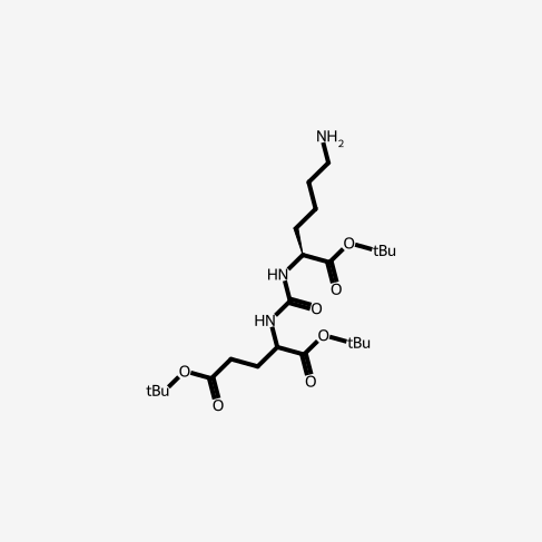 CC(C)(C)OC(=O)CCC(NC(=O)N[C@@H](CCCCN)C(=O)OC(C)(C)C)C(=O)OC(C)(C)C